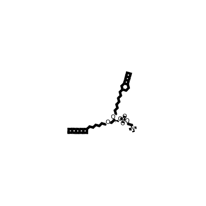 C[N+](C)(C)CCOP(=O)([O-])OC[C@@H](COCCCCCCC1CC2C1C1C3C4CCC4C3C21)OCCCCCCCCC1CCC2C(C1)C1C3CCC3C21